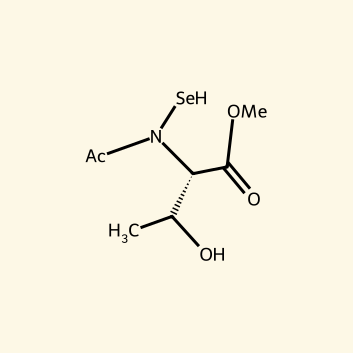 COC(=O)[C@H](C(C)O)N([SeH])C(C)=O